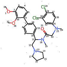 COc1cccc(-c2ccc(C(CN3CCCC3)N(C)C(=O)CN(C)c3ccc(Cl)c(Cl)c3)cc2)c1OC